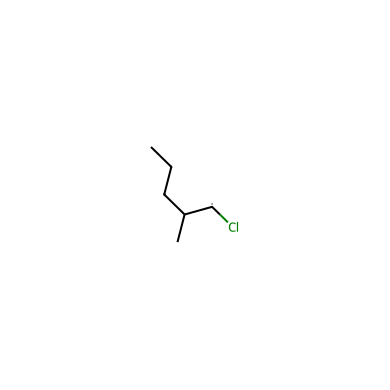 CCCC(C)[CH]Cl